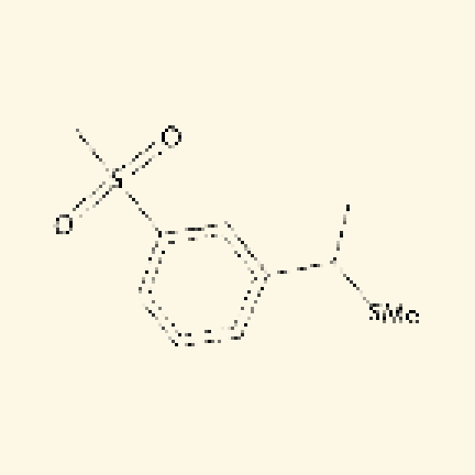 CSC(C)c1cccc(S(C)(=O)=O)c1